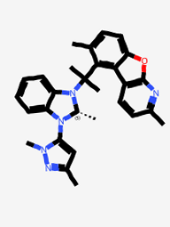 Cc1ccc2c(n1)oc1ccc(C)c(C(C)(C)N3c4ccccc4N(c4cc(C)nn4C)[C@H]3C)c12